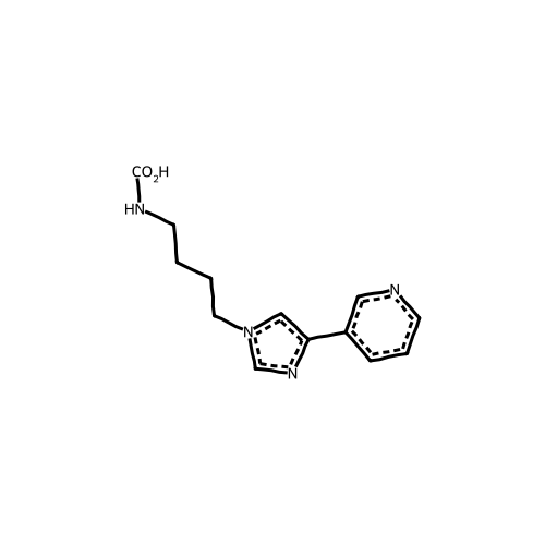 O=C(O)NCCCCn1cnc(-c2cccnc2)c1